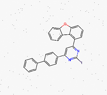 Ic1nc(-c2ccc(-c3ccccc3)cc2)cc(-c2cccc3oc4ccccc4c23)n1